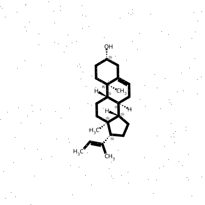 CC=C(C)[C@H]1CC[C@H]2[C@@H]3CC=C4C[C@@H](O)CC[C@]4(C)[C@H]3CC[C@]12C